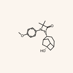 COc1ccc(N2N([C@H]3CCC4C[C@@]5(O)CC3CC45)C(=O)C2(C)C)cc1